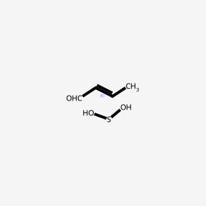 C/C=C/C=O.OSO